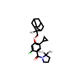 CC(C)(C)C1(C(=O)O)CCCN1C(=O)c1cc(C2CC2)c(OCC2(C#N)C3CC4CC(C3)CC2C4)cc1F